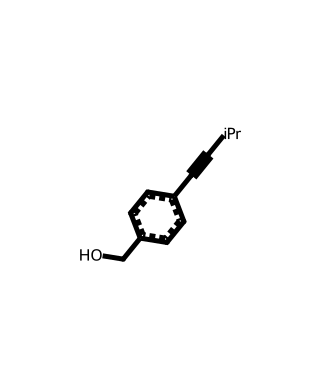 CC(C)C#Cc1ccc(CO)cc1